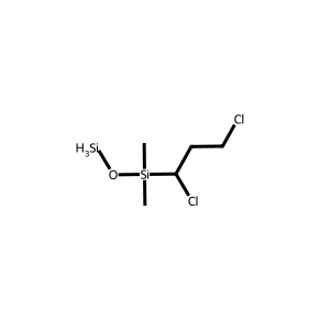 C[Si](C)(O[SiH3])C(Cl)CCCl